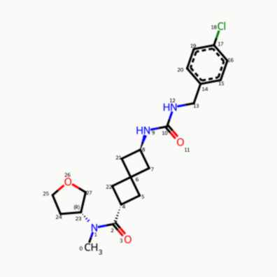 CN(C(=O)[C@H]1CC2(C[C@H](NC(=O)NCc3ccc(Cl)cc3)C2)C1)[C@@H]1CCOC1